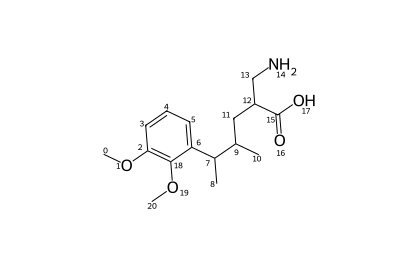 COc1cccc(C(C)C(C)CC(CN)C(=O)O)c1OC